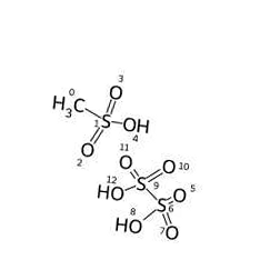 CS(=O)(=O)O.O=S(=O)(O)S(=O)(=O)O